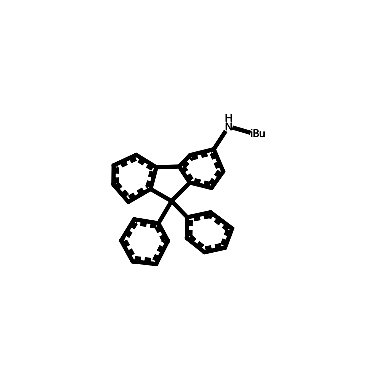 CCC(C)Nc1ccc2c(c1)-c1ccccc1C2(c1ccccc1)c1ccccc1